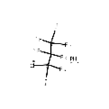 FC(F)(F)C(F)(F)C(F)(F)Cl.P